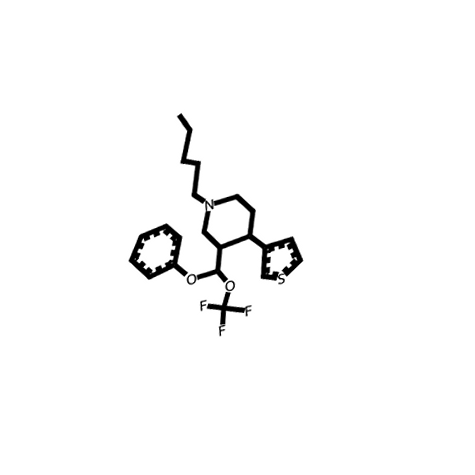 CCCCCN1CCC(c2ccsc2)C(C(Oc2ccccc2)OC(F)(F)F)C1